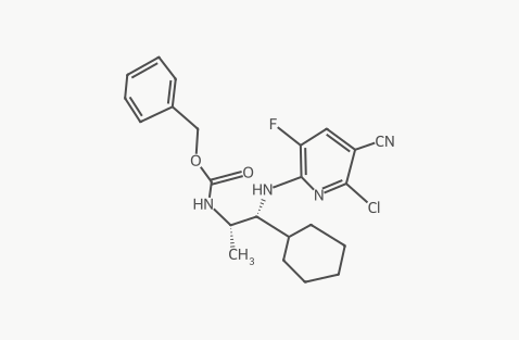 C[C@H](NC(=O)OCc1ccccc1)[C@H](Nc1nc(Cl)c(C#N)cc1F)C1CCCCC1